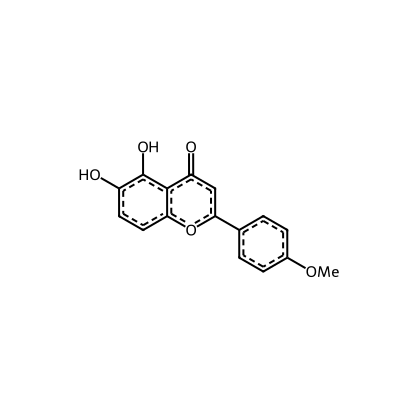 COc1ccc(-c2cc(=O)c3c(O)c(O)ccc3o2)cc1